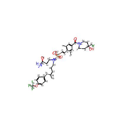 Cc1cc(C(=O)N2CCC(O)(CF)CC2)cc(C)c1/C=C/S(=O)(=O)N(CCCC(C)Cc1ccc(OC(F)(F)F)cc1)CCC(N)=O